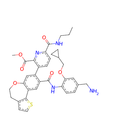 CCCNC(=O)c1ccc(-c2cc3c(cc2C(=O)Nc2ccc(CN)cc2OCC2CC2)-c2sccc2CCO3)c(C(=O)OC)n1